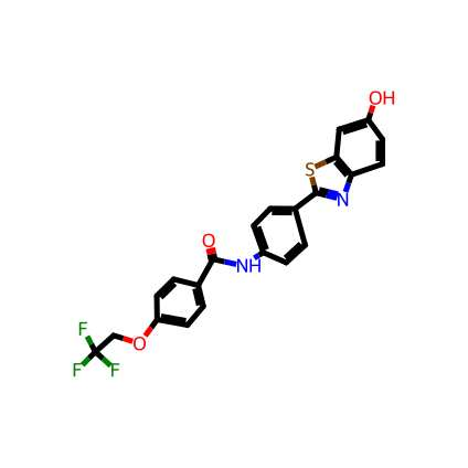 O=C(Nc1ccc(-c2nc3ccc(O)cc3s2)cc1)c1ccc(OCC(F)(F)F)cc1